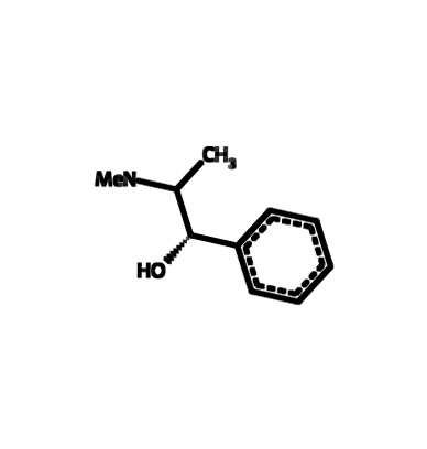 CNC(C)[C@@H](O)c1ccccc1